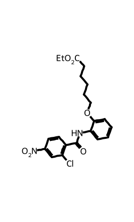 CCOC(=O)CCCCCOc1ccccc1NC(=O)c1ccc([N+](=O)[O-])cc1Cl